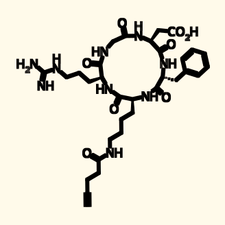 C#CCCC(=O)NCCCC[C@@H]1NC(=O)[C@@H](Cc2ccccc2)NC(=O)[C@H](CC(=O)O)NC(=O)CNC(=O)[C@H](CCCNC(=N)N)NC1=O